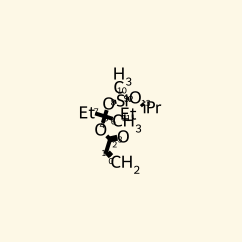 C=CC(=O)OC(C)(CC)O[Si](C)(CC)OC(C)C